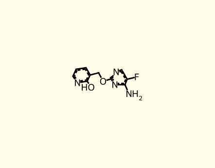 Nc1nc(OCc2cccnc2O)ncc1F